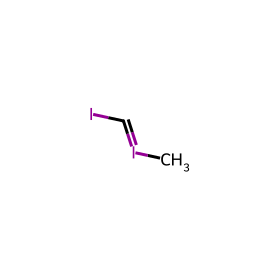 C/I=C/I